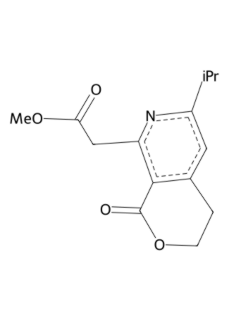 COC(=O)Cc1nc(C(C)C)cc2c1C(=O)OCC2